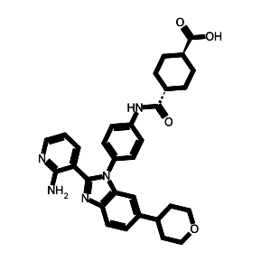 Nc1ncccc1-c1nc2ccc(C3CCOCC3)cc2n1-c1ccc(NC(=O)[C@H]2CC[C@H](C(=O)O)CC2)cc1